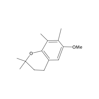 COc1cc2c(c(C)c1C)OC(C)(C)CC2